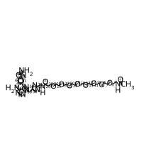 CC(=O)NCCOCCOCCOCCOCCOCCOCCOCCOCCC(=O)NCc1ncc(Cn2nc(-c3ccc4oc(N)nc4c3)c3c(N)ncnc32)cn1